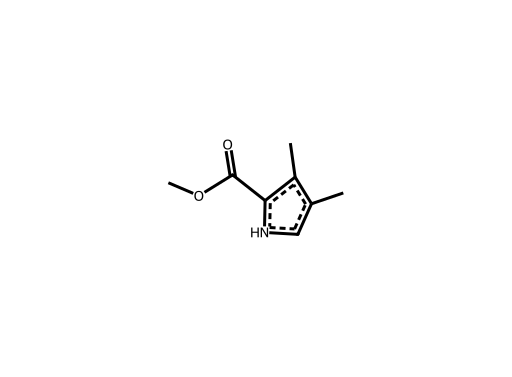 COC(=O)c1[nH]cc(C)c1C